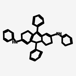 C1=CCCC(NC2=CC3=C(c4ccccc4)C4=C(C=C(Nc5ccccc5)CC4)C(c4ccccc4)C3CC2)=C1